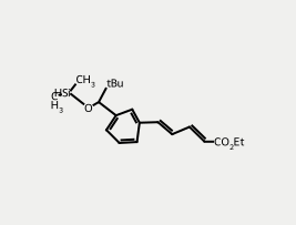 CCOC(=O)C=CC=Cc1cccc(C(O[SiH](C)C)C(C)(C)C)c1